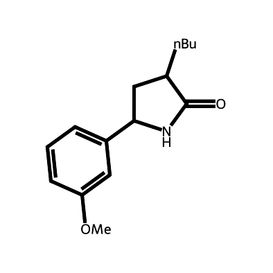 CCCCC1CC(c2cccc(OC)c2)NC1=O